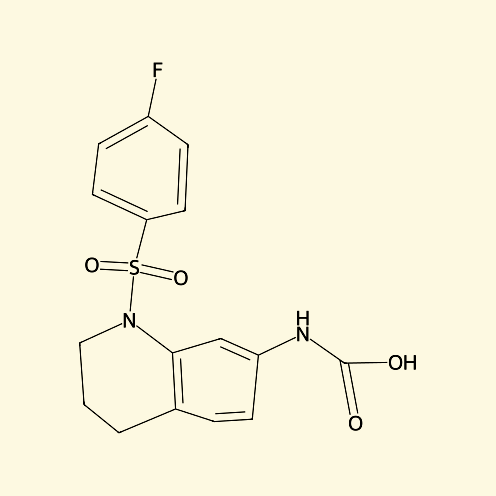 O=C(O)Nc1ccc2c(c1)N(S(=O)(=O)c1ccc(F)cc1)CCC2